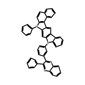 c1ccc(-c2nc3ccccc3nc2-c2cccc(-n3c4ccccc4c4cc5c6c7ccccc7ccc6n(-c6ccccc6)c5cc43)c2)cc1